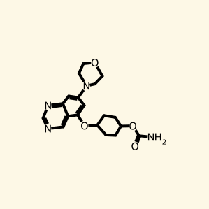 NC(=O)OC1CCC(Oc2cc(N3CCOCC3)cc3ncncc23)CC1